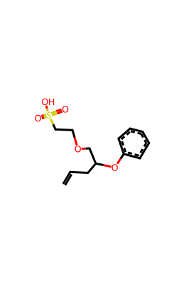 C=CCC(COCCS(=O)(=O)O)Oc1ccccc1